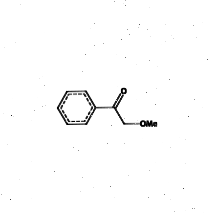 [CH2]OCC(=O)c1ccccc1